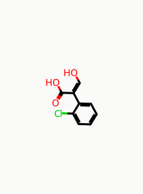 O=C(O)C(=CO)c1ccccc1Cl